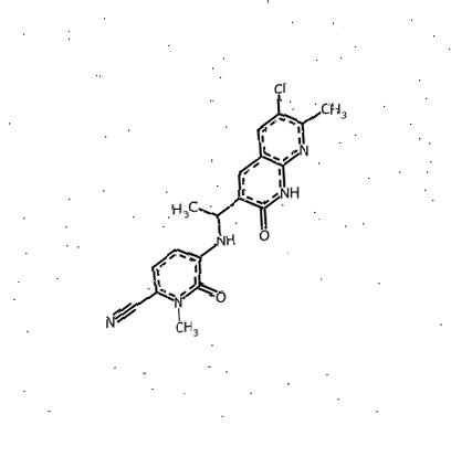 Cc1nc2[nH]c(=O)c(C(C)Nc3ccc(C#N)n(C)c3=O)cc2cc1Cl